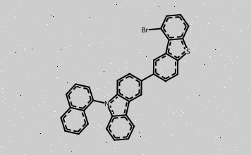 Brc1cccc2sc3ccc(-c4ccc5c(c4)c4ccccc4n5-c4cccc5ccccc45)cc3c12